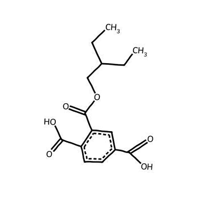 CCC(CC)COC(=O)c1cc(C(=O)O)ccc1C(=O)O